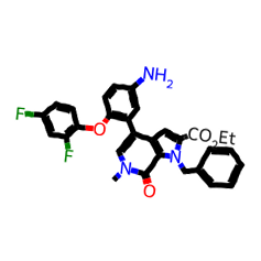 CCOC(=O)c1cc2c(-c3cc(N)ccc3Oc3ccc(F)cc3F)cn(C)c(=O)c2n1Cc1ccccc1